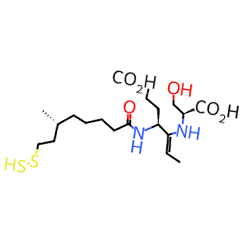 C/C=C(\N[C@@H](CO)C(=O)O)[C@H](CCC(=O)O)NC(=O)CCCC[C@@H](C)CCSS